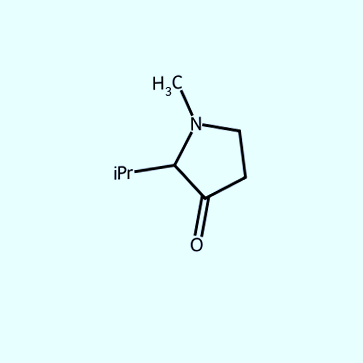 CC(C)C1C(=O)CCN1C